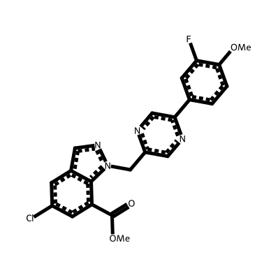 COC(=O)c1cc(Cl)cc2cnn(Cc3cnc(-c4ccc(OC)c(F)c4)cn3)c12